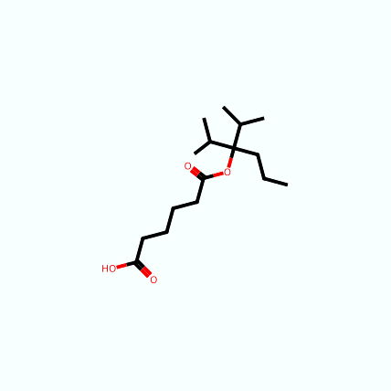 CCCC(OC(=O)CCCCC(=O)O)(C(C)C)C(C)C